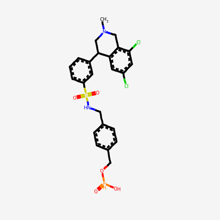 CN1Cc2c(Cl)cc(Cl)cc2C(c2cccc(S(=O)(=O)NCc3ccc(CO[PH](=O)O)cc3)c2)C1